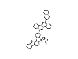 CC1(C)c2cc(-c3cc4c5ccccc5c(-c5ccc6ccccc6c5)cc4c4ccccc34)ccc2-c2c1ccc1c2sc2ccccc21